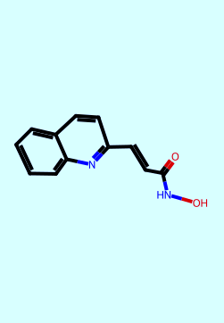 O=C(C=Cc1ccc2ccccc2n1)NO